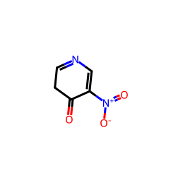 O=C1CC=NC=C1[N+](=O)[O-]